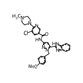 COc1ccc(Cn2nc(NC(=O)c3cnc(N4CCN(C)CC4)c(Cl)c3)cc2-c2nc3ccccc3[nH]2)cc1